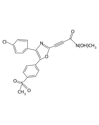 CN(O)C(=O)C#Cc1nc(-c2ccc(Cl)cc2)c(-c2ccc(S(C)(=O)=O)cc2)o1